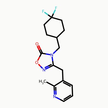 Cc1ncccc1Cc1noc(=O)n1CC1CCC(F)(F)CC1